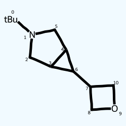 CC(C)(C)N1CC2C(C1)C2C1COC1